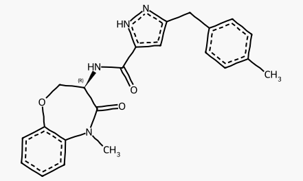 Cc1ccc(Cc2cc(C(=O)N[C@@H]3COc4ccccc4N(C)C3=O)[nH]n2)cc1